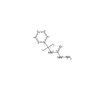 CC(C)(NC(=O)NN)c1ccccc1